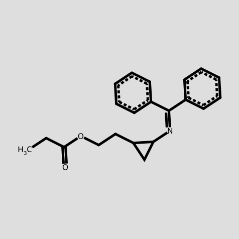 CCC(=O)OCCC1CC1N=C(c1ccccc1)c1ccccc1